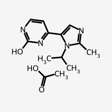 CC(=O)O.Cc1ncc(-c2ccnc(O)n2)n1C(C)C